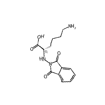 NCCCC[C@H](NN1C(=O)c2ccccc2C1=O)C(=O)O